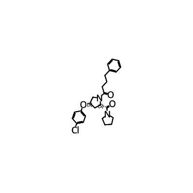 O=C([C@@H]1C[C@H](Oc2ccc(Cl)cc2)CN1C(=O)CCCc1ccccc1)N1CCCC1